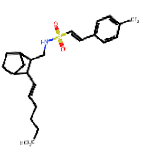 O=C(O)CCCC=CC1C2CCC(C2)C1CNS(=O)(=O)C=Cc1ccc(C(F)(F)F)cc1